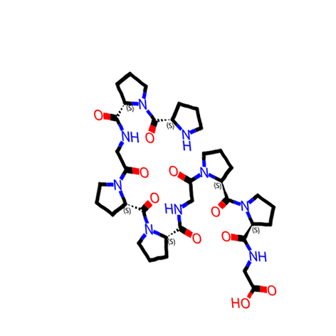 O=C(O)CNC(=O)[C@@H]1CCCN1C(=O)[C@@H]1CCCN1C(=O)CNC(=O)[C@@H]1CCCN1C(=O)[C@@H]1CCCN1C(=O)CNC(=O)[C@@H]1CCCN1C(=O)[C@@H]1CCCN1